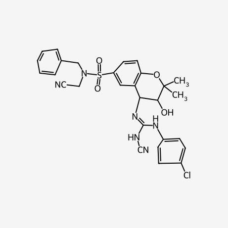 CC1(C)Oc2ccc(S(=O)(=O)N(CC#N)Cc3ccccc3)cc2C(/N=C(/NC#N)Nc2ccc(Cl)cc2)C1O